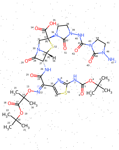 CC(C)(C)OC(=O)Nc1nc(/C(=N/OC(C)(C)C(=O)OC(C)(C)C)C(=O)N[C@@H]2C(=O)N3C[C@@](C(=O)O)(N4CCN(NC(=O)N5CCN(N)C5=O)C4=O)S[C@H]23)cs1